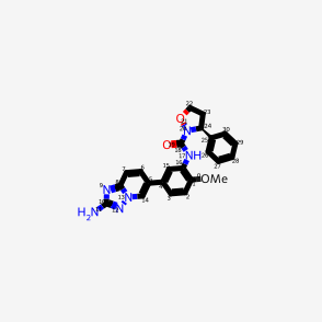 COc1ccc(-c2ccc3nc(N)nn3c2)cc1NC(=O)N1OCC[C@H]1c1ccccc1